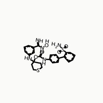 N=C(NO)c1cccc(NC2(OC(=O)Nc3ccc(-c4ccccc4S(N)(=O)=O)cc3)CCSCC2)c1